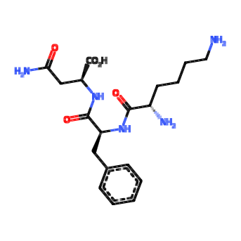 NCCCC[C@H](N)C(=O)N[C@@H](Cc1ccccc1)C(=O)N[C@@H](CC(N)=O)C(=O)O